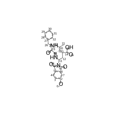 COc1ccc2c(c1)C(=O)N(C(CCC(=O)O)N[C@@H](CC(C)C)C(=O)NCc1ccccc1)C2=O